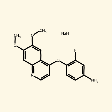 COc1cc2nccc(Oc3ccc(N)cc3F)c2cc1OC.[NaH]